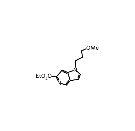 CCOC(=O)c1cc2c(ccn2CCCOC)cn1